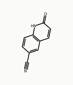 N#Cc1ccc2[nH]c(=O)ccc2c1